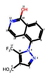 O=C(O)c1cnn(-c2cccc3c(O)nccc23)c1C(F)(F)F